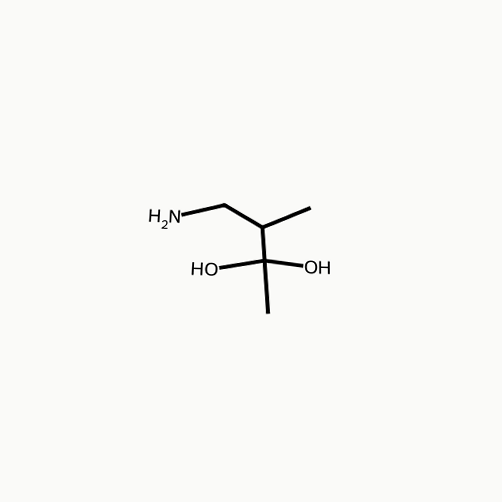 CC(CN)C(C)(O)O